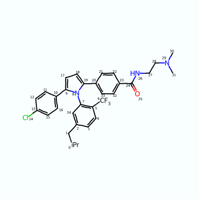 CC(C)Cc1ccc(C(F)(F)F)c(-n2c(-c3ccc(Cl)cc3)ccc2-c2ccc(C(=O)NCCN(C)C)cc2)c1